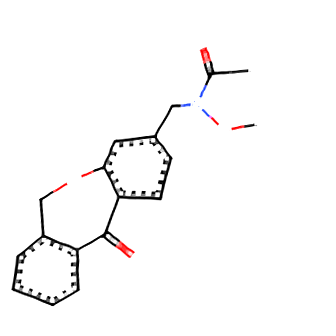 CCON(Cc1ccc2c(c1)OCc1ccccc1C2=O)C(=O)C(=O)O